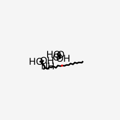 CCCCCCCCCCCCCCCCCCC(C)NCC(O)O.O=S(=O)(O)O